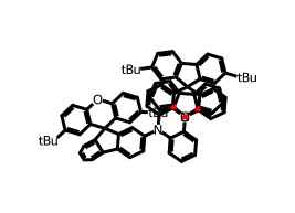 CC(C)(C)c1ccc2c(c1)C1(c3cc(C(C)(C)C)ccc3O2)c2ccccc2-c2ccc(N(c3ccccc3-n3c4ccccc4c4ccccc43)c3cccc4c3Oc3ccccc3C43c4cc(C(C)(C)C)ccc4-c4ccc(C(C)(C)C)cc43)cc21